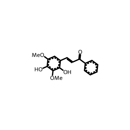 COc1cc(C=CC(=O)c2ccccc2)c(O)c(OC)c1O